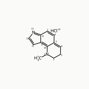 CN1CCC=c2ccc3c(c21)C=CN=3.Cl